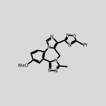 COc1ccc2c(c1)-c1nnc(C)n1Cc1c(-c3noc(C(C)C)n3)ncn1-2